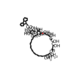 CC1OC(O[C@H]2/C=C/C=C/C=C/C=C/C=C/C=C/C=C/[C@H](C)[C@@H](O)[C@@H](C)[C@H](C)OC(=O)C[C@H](O)C[C@H](O)CC[C@@H](O)[C@H](O)C[C@H](O)C[C@]3(O)C[C@H](O)[C@@H](C(=O)O)[C@H](C2)O3)C(O)C(NC(=O)OCC2c3ccccc3-c3ccccc32)C1O